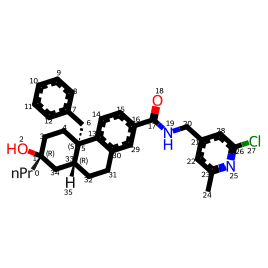 CCC[C@@]1(O)CC[C@@]2(Cc3ccccc3)c3ccc(C(=O)NCc4cc(C)nc(Cl)c4)cc3CC[C@@H]2C1